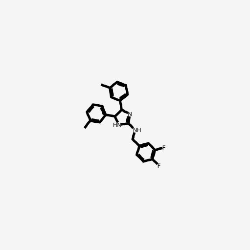 Cc1cccc(C2N=C(NCc3ccc(F)c(F)c3)NC2c2cccc(C)c2)c1